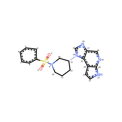 O=S(=O)(c1ccccc1)N1CCC[C@@H](n2cnc3cnc4[nH]ccc4c32)C1